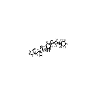 CC1CCCN1CCNC(=O)Nc1ccc(OC2CC(N3CCCCC3)C2)cc1